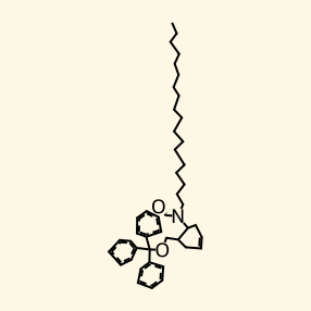 CCCCCCCCCCCCCCCCCCN(C=O)C1CC=CCC1COC(c1ccccc1)(c1ccccc1)c1ccccc1